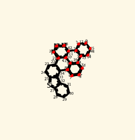 c1ccc(-c2ccccc2-c2c(-c3ccccc3)nnnc2-c2ccc3sc4ccccc4c3c2-c2ccccc2-c2ccccc2)cc1